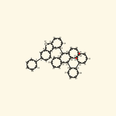 c1ccc(-c2ccc3c(c2)oc2cccc(-c4c5ccccc5c(-c5ccccc5-c5ccccc5)c5ccccc45)c23)cc1